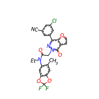 CCN(C(=O)Cn1nc(-c2cc(Cl)cc(C#N)c2)c2occc2c1=O)c1cc2c(cc1C)OC(F)(F)O2